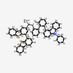 CCC(Cc1ccccc1-c1c(C)cccc1-c1cccc2c1c1ccccc1n2-c1ccccc1)c1cc(-c2cccc3c2sc2ccccc23)c2sc3ccccc3c2c1